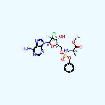 CC(C)OC(=O)[C@@H](C)N[P@](=O)(OC[C@H]1O[C@@H](n2cnc3c(N)ncnc32)[C@](F)(Cl)[C@@H]1O)Oc1ccccc1